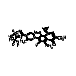 COc1c(N2CCN(C(=O)OC(P(=O)(O)O)P(=O)(O)O)C(C)C2)c(F)c(N)c2c(=O)c(C(=O)O)cn(C3CC3)c12